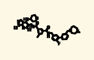 CCc1nc2c(cnn2CC)c(NC2CCOCC2)c1CNC(=O)c1cc(C)cc(C(=O)NCc2ccc(F)c(-c3cccc(CN4CCCN(C)CC4)c3)c2)c1